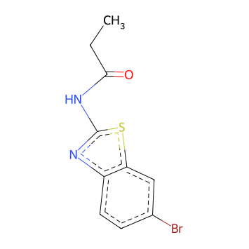 CCC(=O)Nc1nc2ccc(Br)cc2s1